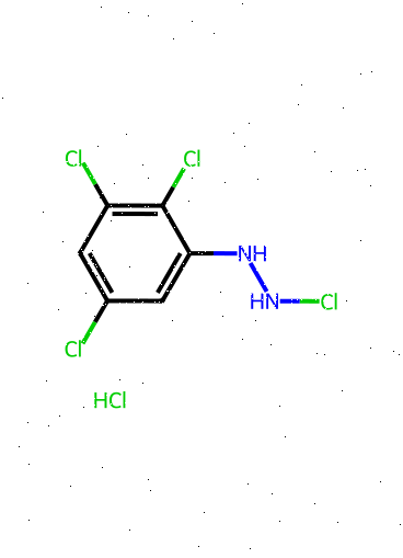 Cl.ClNNc1cc(Cl)cc(Cl)c1Cl